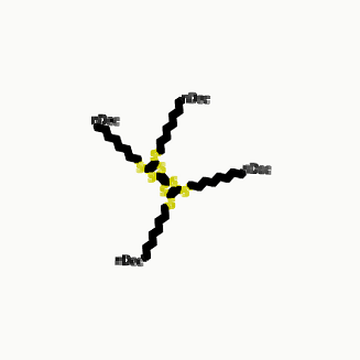 CCCCCCCCCCCCCCCCCCSC1=C(SCCCCCCCCCCCCCCCCCC)SC(=C2SC(SCCCCCCCCCCCCCCCCCC)=C(SCCCCCCCCCCCCCCCCCC)S2)S1